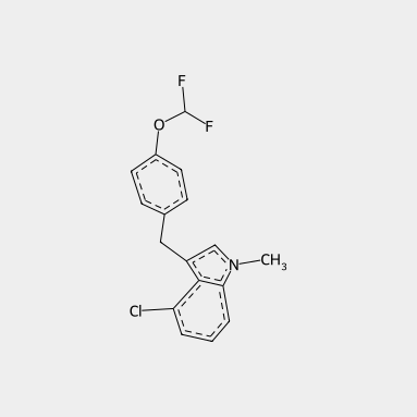 Cn1cc(Cc2ccc(OC(F)F)cc2)c2c(Cl)cccc21